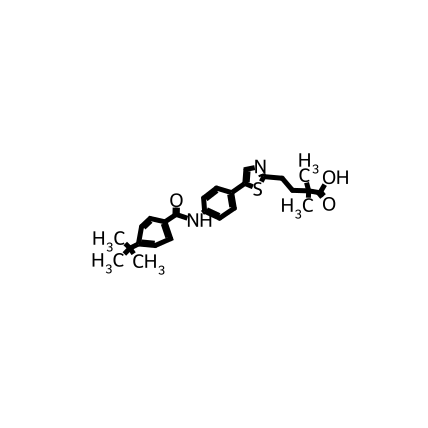 CC(C)(CCc1ncc(-c2ccc(NC(=O)c3ccc(C(C)(C)C)cc3)cc2)s1)C(=O)O